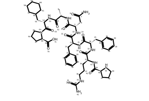 C[C@H](NC(=O)[C@H](CC(N)=O)NC(=O)[C@H](Cc1ccccc1)NC(=O)[C@H](Cc1ccccc1)NC(=O)[C@H](CCCNC(=N)N)NC(=O)[C@@H]1CCCN1)C(=O)N[C@@H](CC1CCCCC1)C(=O)N1CCC[C@@H]1C(=O)O